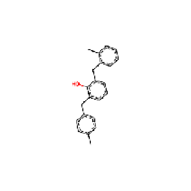 Cc1ccc(Cc2cccc(Cc3ccccc3C)c2O)cc1